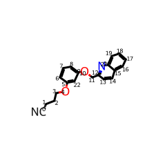 N#CCCCOc1cccc(OCc2ccc3ccccc3n2)c1